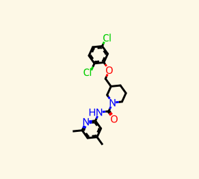 Cc1cc(C)nc(NC(=O)N2CCCC(COc3cc(Cl)ccc3Cl)C2)c1